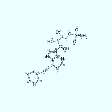 CC[C@H](COS(N)(=O)=O)[C@@H](O)[C@@H](O)n1cnc2c(C#Cc3ccccc3)ncnc21